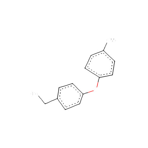 COc1ccc(Oc2ccc(CC(C)(C)C)cc2)cc1